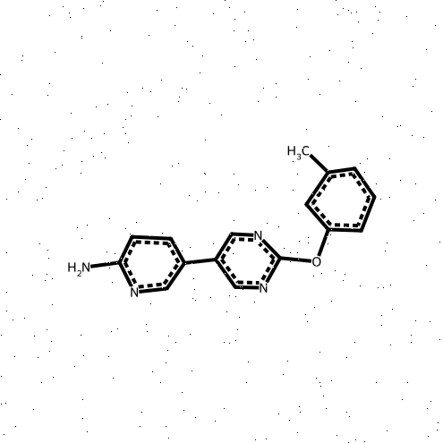 Cc1cccc(Oc2ncc(-c3ccc(N)nc3)cn2)c1